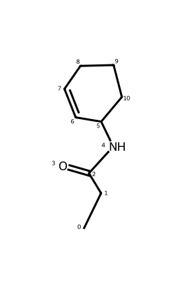 CCC(=O)NC1C=CCCC1